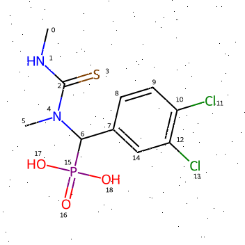 CNC(=S)N(C)C(c1ccc(Cl)c(Cl)c1)P(=O)(O)O